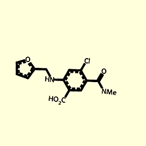 CNC(=O)c1cc(C(=O)O)c(NCc2ccco2)cc1Cl